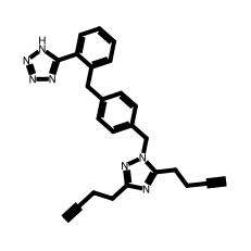 C#CCCc1nc(CCC#C)n(Cc2ccc(Cc3ccccc3-c3nnn[nH]3)cc2)n1